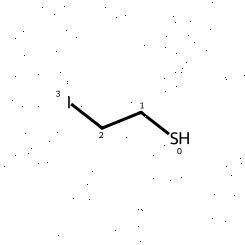 SCCI